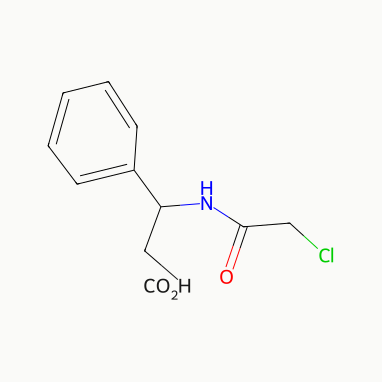 O=C(O)CC(NC(=O)CCl)c1ccccc1